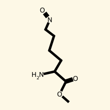 COC(=O)C(N)CCCCN=O